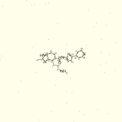 Cc1nc2c(CCCN)c(C(=O)Nc3nc(-c4ccncc4)cs3)ccc2[nH]1